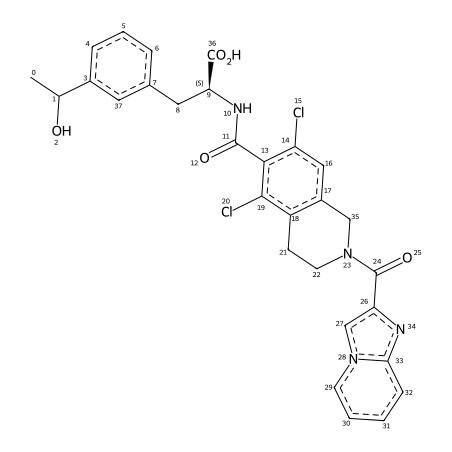 CC(O)c1cccc(C[C@H](NC(=O)c2c(Cl)cc3c(c2Cl)CCN(C(=O)c2cn4ccccc4n2)C3)C(=O)O)c1